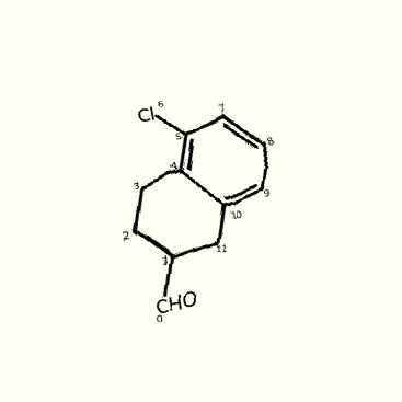 O=CC1CCc2c(Cl)cccc2C1